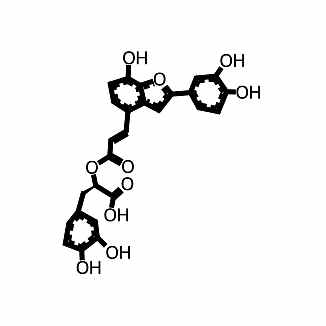 O=C(/C=C/c1ccc(O)c2oc(-c3ccc(O)c(O)c3)cc12)O[C@H](Cc1ccc(O)c(O)c1)C(=O)O